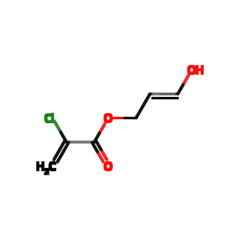 C=C(Cl)C(=O)OCC=CO